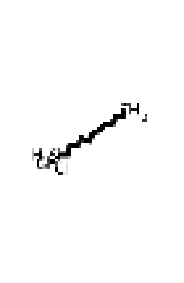 C=CCCCCCCCCCC[SiH2]C(Cl)Cl